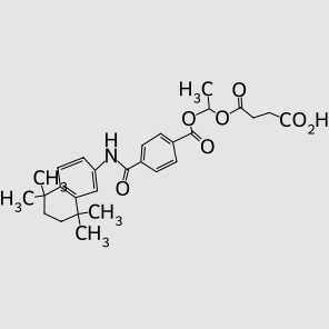 CC(OC(=O)CCC(=O)O)OC(=O)c1ccc(C(=O)Nc2ccc3c(c2)C(C)(C)CCC3(C)C)cc1